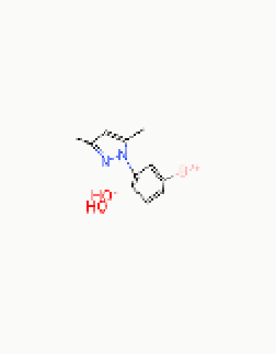 [B+2]c1cccc(-n2nc(C)cc2C)c1.[OH-].[OH-]